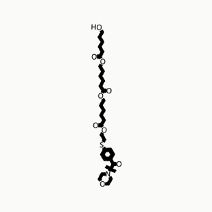 CC(C)(C(=O)c1ccc(SCCOC(=O)CCCCCOC(=O)CCCCCOC(=O)CCCCCO)cc1)N1CCOCC1